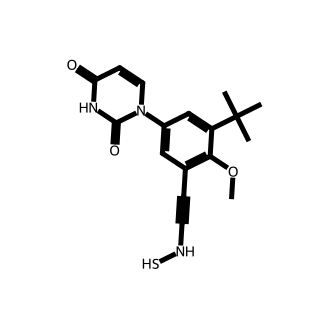 COc1c(C#CNS)cc(-n2ccc(=O)[nH]c2=O)cc1C(C)(C)C